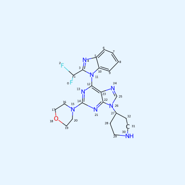 FC(F)c1nc2ccccc2n1-c1nc(N2CCOCC2)nc2c1ncn2C1CCNCC1